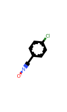 [O-][N+]#Cc1ccc(Cl)cc1